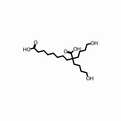 O=C(O)CCCCCCCC(CCCCO)(CCCCO)C(=O)O